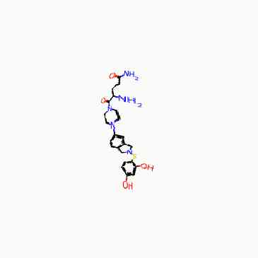 NC(=O)CCC(N)C(=O)N1CCN(c2ccc3c(c2)CN(Sc2ccc(O)cc2O)C3)CC1